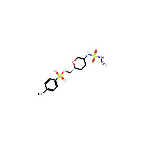 CNS(=O)(=O)N[C@H]1CC[C@H](COS(=O)(=O)c2ccc(C)cc2)OC1